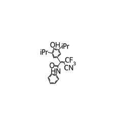 CC(C)c1cc(C(C(=O)Nc2ccccc2)=C(C#N)C(F)(F)F)cc(C(C)C)c1O